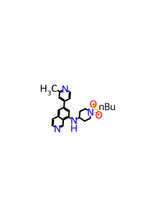 CCCCS(=O)(=O)N1CCC(Nc2cc(-c3ccnc(C)c3)cc3ccncc23)CC1